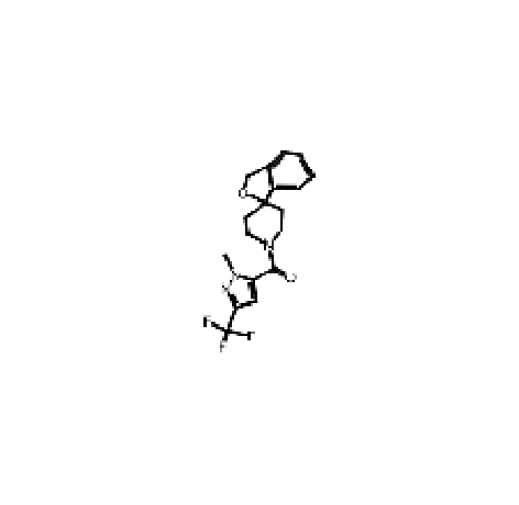 Cn1nc(C(F)(F)F)cc1C(=O)N1CCC2(CC1)OCc1ccccc12